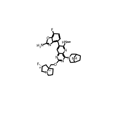 CNc1nc2c(N3CC4CCC(C3)N4)nc(OC[C@@]34CCCN3C[C@H](F)C4)nc2cc1-c1ccc(F)c2oc(N)nc12